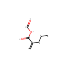 C=C(CCC)C(=O)OC=O